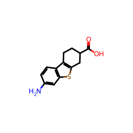 Nc1ccc2c3c(sc2c1)CC(C(=O)O)CC3